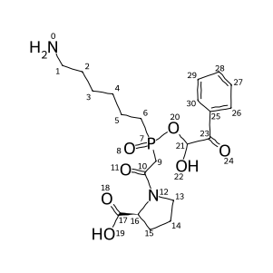 NCCCCCCP(=O)(CC(=O)N1CCC[C@H]1C(=O)O)OC(O)C(=O)c1ccccc1